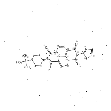 CC(C)(O)C1CCN(N2C(=O)c3ccc4c5c(ccc(c35)C2=O)C(=O)N(c2nccs2)C4=O)CC1